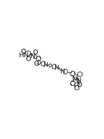 O=C1CC[C@H](N2Cc3c(ccc4c3OCC43CCN(C4CC5(CCN(CCN6CCC(c7ccc8c(c7)-n7c(nc(=O)c9c(Cl)cccc97)C87CCCCC7)CC6)CC5)C4)CC3)C2=O)C(=O)N1